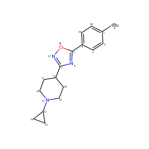 CC(C)(C)c1ccc(-c2nc(C3CCN(C4CC4)CC3)no2)cc1